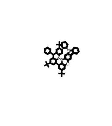 CC(C)(C)c1cc2c3c(c1)-c1cc(C(C)(C)C)cc4c1N(B3c1cc3c(cc1O2)c1ccccc1n3-c1ccccc1)c1ccc(C(C)(C)C)cc1C4c1ccccc1